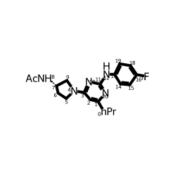 CCCc1cc(N2CC[C@H](NC(C)=O)C2)nc(Nc2ccc(F)cc2)n1